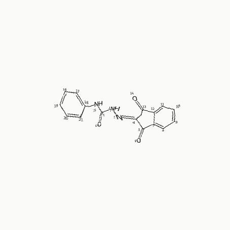 O=C(NN=c1c(=O)c2ccccc2c1=O)Nc1ccccc1